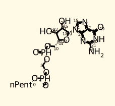 CCCCCO[PH](=O)OCO[PH](=O)OC[C@H]1O[C@@H](n2cnc3c(=O)[nH]c(N)nc32)[C@H](O)[C@@H]1O